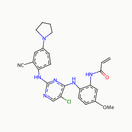 C=CC(=O)Nc1cc(OC)ccc1Nc1nc(Nc2ccc(N3CCCC3)cc2C#N)ncc1Cl